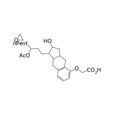 C1CO1.CCCCCC(CCC1C(O)CC2Cc3c(cccc3OCC(=O)O)CC21)OC(C)=O